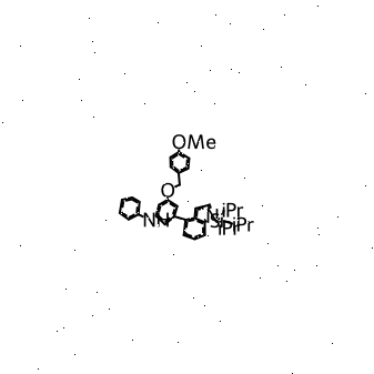 COc1ccc(COc2cc(Nc3ccccc3)cc(-c3cccc4c3ccn4[Si](C(C)C)(C(C)C)C(C)C)c2)cc1